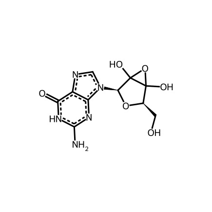 Nc1nc2c(ncn2[C@@H]2O[C@H](CO)C3(O)OC23O)c(=O)[nH]1